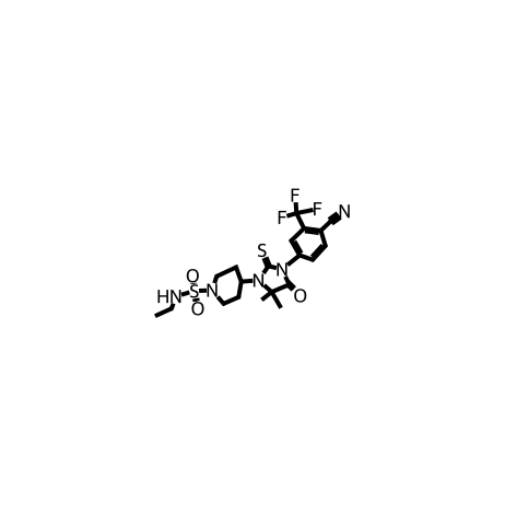 CCNS(=O)(=O)N1CCC(N2C(=S)N(c3ccc(C#N)c(C(F)(F)F)c3)C(=O)C2(C)C)CC1